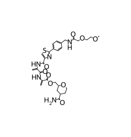 C=C(NC(=O)c1csc(-c2ccc(CNC(=O)COCCOC)cc2)n1)C(=O)NC(=C)C(=O)OCC1CC(C(N)=O)CCO1